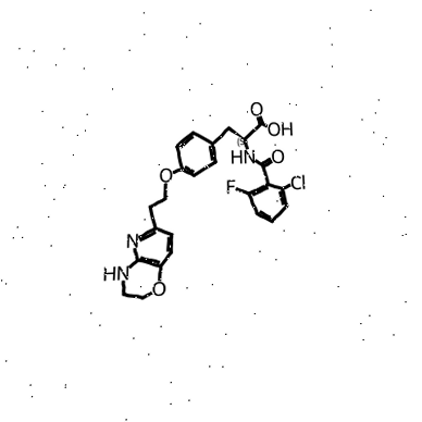 O=C(N[C@@H](Cc1ccc(OCCc2ccc3c(n2)NCCO3)cc1)C(=O)O)c1c(F)cccc1Cl